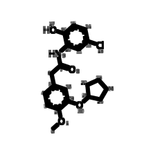 COc1ccc(CC(=O)Nc2cc(Cl)ccc2O)cc1OC1CCCC1